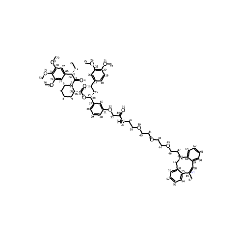 CC[C@H](C(=O)N1CCCC[C@H]1C(=O)O[C@H](CCc1ccc(OC)c(OC)c1)c1cccc(OCC(=O)NCCOCCOCCOCCN2Cc3ccccc3/C(C)=C\c3ccccc32)c1)c1cc(OC)c(OC)c(OC)c1